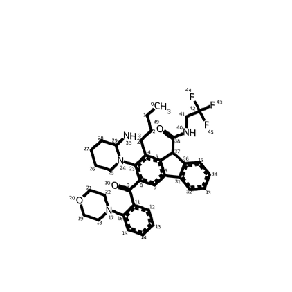 CCCCc1c2c(cc(C(=O)c3ccccc3N3CCOCC3)c1N1CCCCC1N)-c1ccccc1C2C(=O)NCC(F)(F)F